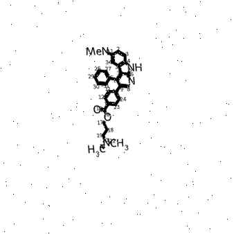 CNc1ccc2[nH]c3ncc(-c4ccc(C(=O)OCCCN(C)C)cc4)c(-c4ccccc4)c3c2c1